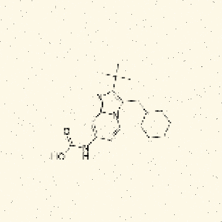 CC(C)(C)c1nc2cc(NC(=O)O)ccn2c1CC1CCCCC1